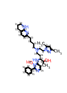 Cc1cc(C)n(CCN(CCCCc2ccc3c(n2)NCCC3)CC[C@H](Nc2ccnc(-c3ccccc3)[n+]2O)C(C)O)n1